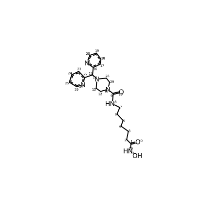 O=C(CCCCCCNC(=O)N1CCN(C(c2ccccn2)c2ccccn2)CC1)NO